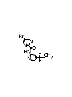 CCC(F)(F)c1ccnc(NC(=O)c2ncc(Br)cn2)c1